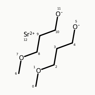 COCCC[O-].COCCC[O-].[Sr+2]